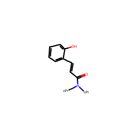 CCCN(CCC)C(=O)/C=C/c1ccccc1O